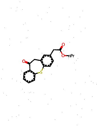 CCCOC(=O)Cc1ccc2c(c1)CC(=O)c1ccccc1S2